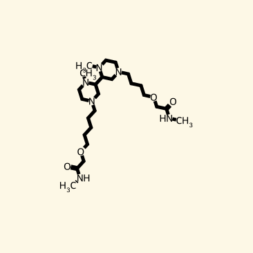 CNC(=O)COCCCCCN1CCN(C)C(C2CN(CCCCOCC(=O)NC)CCN2C)C1